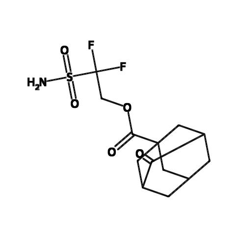 NS(=O)(=O)C(F)(F)COC(=O)C12CC3CC(C1)C(=O)C(C3)C2